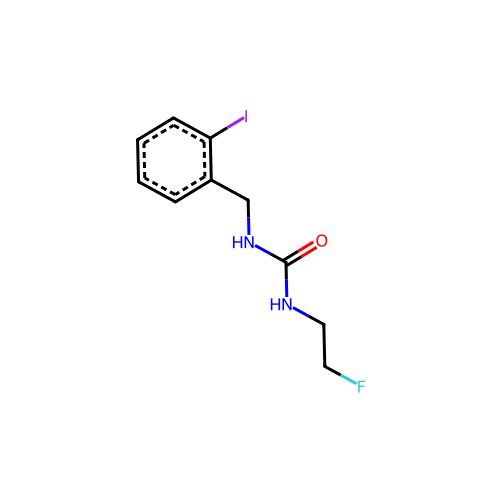 O=C(NCCF)NCc1ccccc1I